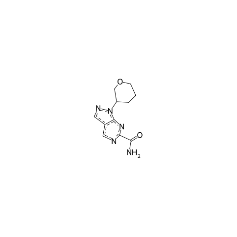 NC(=O)c1ncc2cnn(C3CCCOC3)c2n1